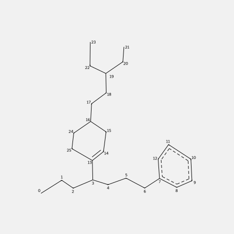 CCCC(CCCc1ccccc1)C1=CCC(CCC(CC)CC)CC1